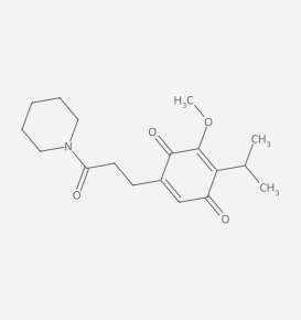 COC1=C(C(C)C)C(=O)C=C(CCC(=O)N2CCCCC2)C1=O